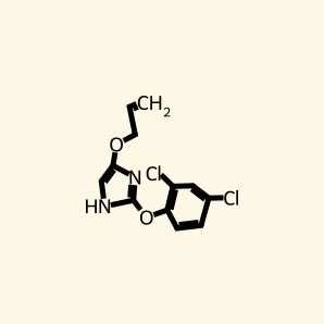 C=CCOc1c[nH]c(Oc2ccc(Cl)cc2Cl)n1